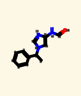 CC(c1ccccc1)n1cnc(NC=O)c1